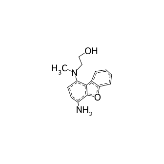 CN(CCO)c1ccc(N)c2oc3ccccc3c12